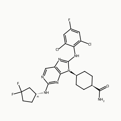 NC(=O)[C@H]1CC[C@@H](n2c(Nc3c(Cl)cc(F)cc3Cl)nc3cnc(N[C@@H]4CCC(F)(F)C4)nc32)CC1